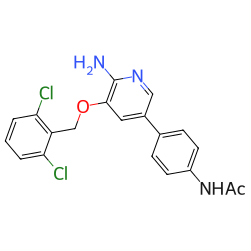 CC(=O)Nc1ccc(-c2cnc(N)c(OCc3c(Cl)cccc3Cl)c2)cc1